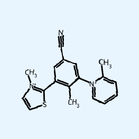 Cc1c(-c2scc[n+]2C)cc(C#N)cc1-[n+]1ccccc1C